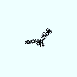 CS(=O)(=O)c1ccc2c(c1)oc(=O)n2CC#Cc1cc2c(N[C@H]3CC[C@@H](N4CCOCC4)CC3)cccc2n1CC(F)(F)F